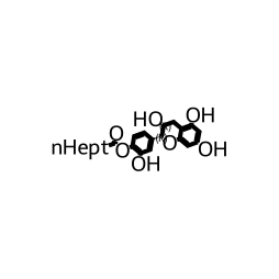 CCCCCCCC(=O)Oc1ccc([C@H]2Oc3cc(O)cc(O)c3C[C@H]2O)cc1O